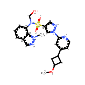 COC1CC(c2ccnc(-n3cc(S(=O)(=O)N(CO)c4cccc5cnn(C)c45)cn3)c2)C1